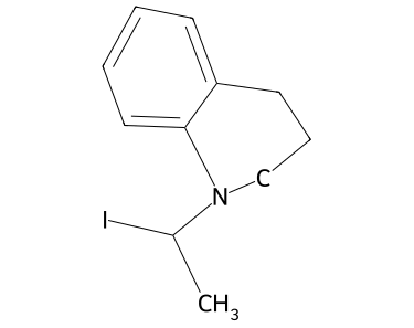 CC(I)N1CCCc2ccccc21